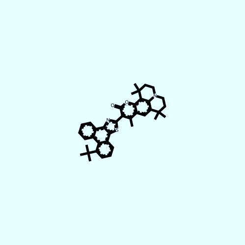 Cc1c(-c2nc3c4ccccc4c4c(C(C)(C)C)cccc4c3s2)c(=O)oc2c3c4c(cc12)C(C)(C)CCN4CCC3(C)C